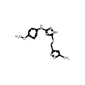 COc1ccc(Nc2n[nH]c(SCc3cc(C)on3)n2)cc1